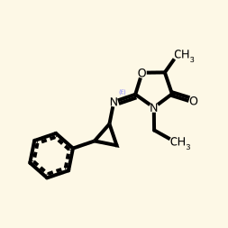 CCN1C(=O)C(C)O/C1=N/C1CC1c1ccccc1